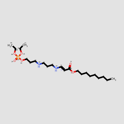 CCCCCCCCCOC(=O)/C=C/NCCCNCCCOP(=O)(OCC)OCC